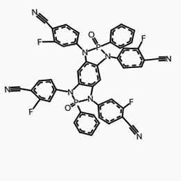 N#Cc1ccc(N2c3cc4c(cc3N(c3ccc(C#N)c(F)c3)P2(=O)c2ccccc2)N(c2ccc(C#N)c(F)c2)P(=O)(c2ccccc2)N4c2ccc(C#N)c(F)c2)cc1F